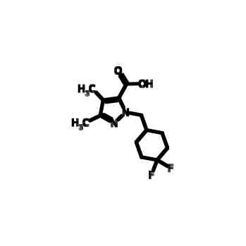 Cc1nn(CC2CCC(F)(F)CC2)c(C(=O)O)c1C